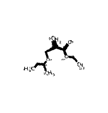 C=C(COC(C)CC)C(=O)OCC